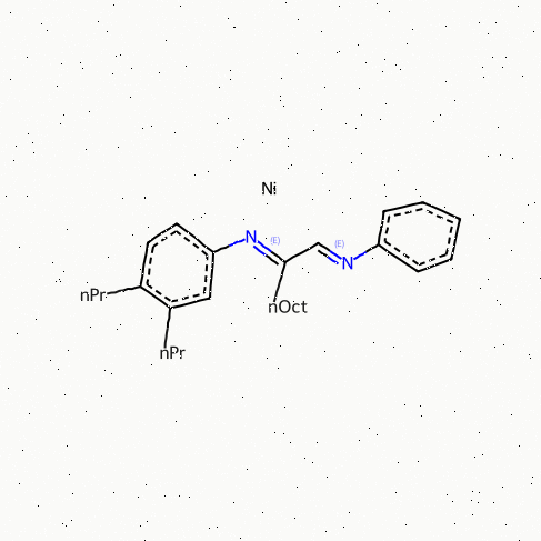 CCCCCCCCC(/C=N/c1ccccc1)=N\c1ccc(CCC)c(CCC)c1.[Ni]